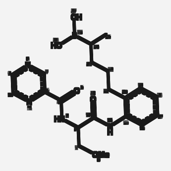 COCC(NC(=O)c1cnccn1)C(=O)Nc1ccccc1CCCC(C)B(O)O